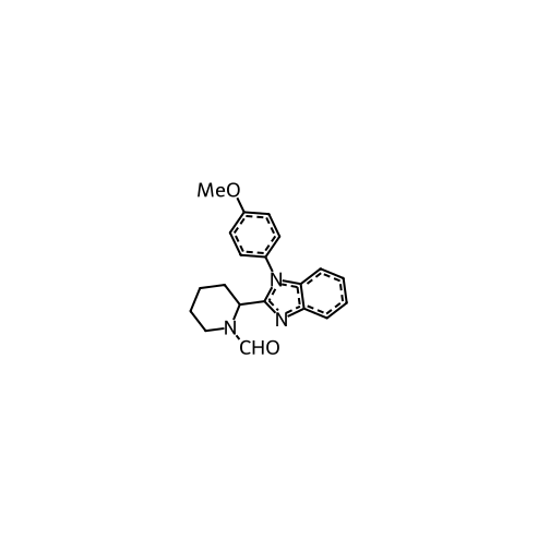 COc1ccc(-n2c(C3CCCCN3C=O)nc3ccccc32)cc1